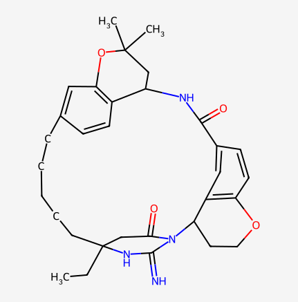 CCC12CCCCCc3ccc4c(c3)OC(C)(C)CC4NC(=O)c3ccc4c(c3)C(CCO4)N(C(=N)N1)C(=O)C2